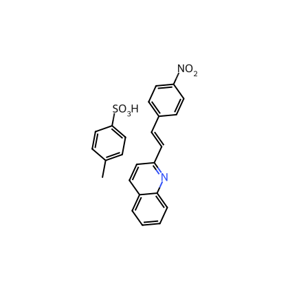 Cc1ccc(S(=O)(=O)O)cc1.O=[N+]([O-])c1ccc(/C=C/c2ccc3ccccc3n2)cc1